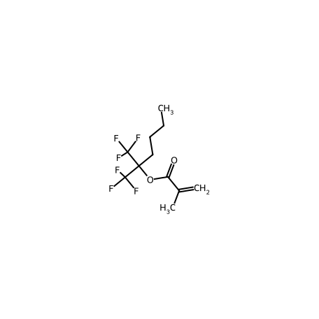 C=C(C)C(=O)OC(CCCC)(C(F)(F)F)C(F)(F)F